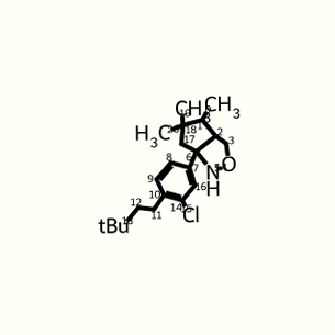 CC1C2CONC2(c2ccc(CCC(C)(C)C)c(Cl)c2)CC1(C)C